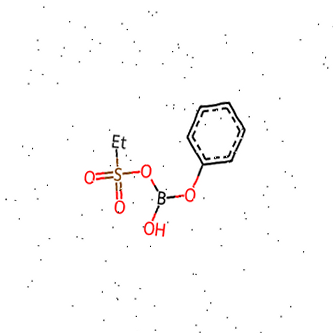 CCS(=O)(=O)OB(O)Oc1ccccc1